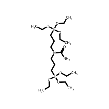 CCO[Si](CCCN(CCC[Si](OCC)(OCC)OCC)C(N)=O)(OCC)OCC